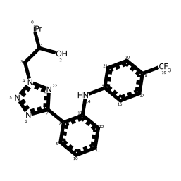 CC(C)C(O)Cn1nnc(-c2ccccc2Nc2ccc(C(F)(F)F)cc2)n1